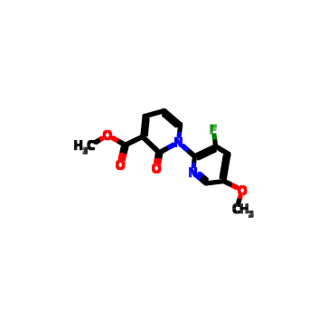 COC(=O)c1cccn(-c2ncc(OC)cc2F)c1=O